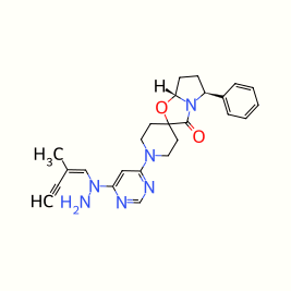 C#C/C(C)=C\N(N)c1cc(N2CCC3(CC2)O[C@@H]2CC[C@@H](c4ccccc4)N2C3=O)ncn1